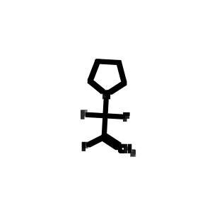 C=C(F)C(F)(F)N1CCCC1